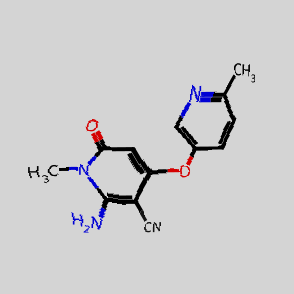 Cc1ccc(Oc2cc(=O)n(C)c(N)c2C#N)cn1